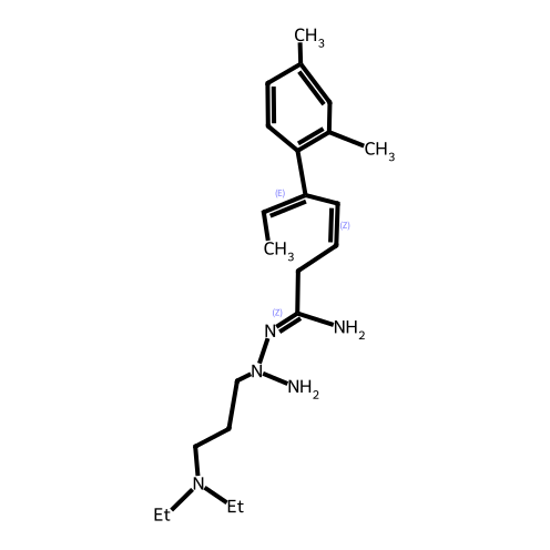 C/C=C(\C=C/C/C(N)=N/N(N)CCCN(CC)CC)c1ccc(C)cc1C